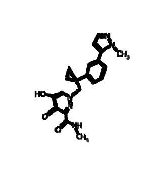 CNC(=O)c1nn(CC2(c3cccc(-c4ccnn4C)c3)CC2)cc(O)c1=O